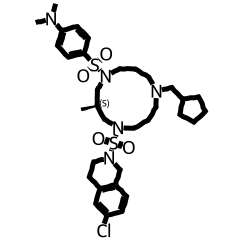 C[C@H]1CN(S(=O)(=O)c2ccc(N(C)C)cc2)CCCN(CC2CCCC2)CCCN(S(=O)(=O)N2CCc3cc(Cl)ccc3C2)C1